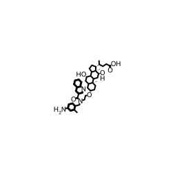 Cc1cc(N)ccc1CN(CCO[C@H]1CC[C@@]2(C)C(C1)C[C@@H](O)C1C2C[C@H](O)[C@@]2(C)C1CC[C@@H]2C(C)CCC(=O)O)C(=O)c1cnc2ccccc2c1